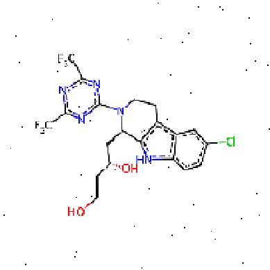 OCC[C@@H](O)C[C@@H]1c2[nH]c3ccc(Cl)cc3c2CCN1c1nc(C(F)(F)F)nc(C(F)(F)F)n1